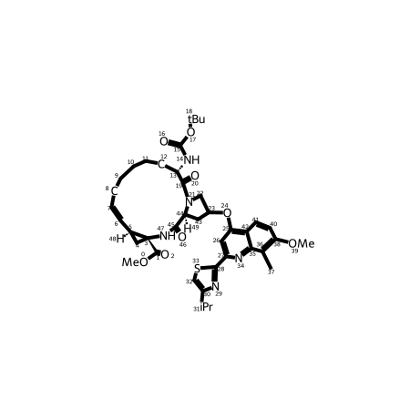 COC(=O)[C@@]12C[C@H]1/C=C\CCCCC[C@H](NC(=O)OC(C)(C)C)C(=O)N1CC(Oc3cc(-c4nc(C(C)C)cs4)nc4c(C)c(OC)ccc34)C[C@H]1C(=O)N2